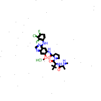 CNC(C)C(=O)NC(C(=O)N1CCCC1C(=O)Nc1cc2c(Nc3ccc(F)c(Cl)c3F)ncnc2cc1OC)C(C)(C)C.Cl